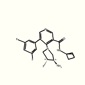 N[C@@H]1CN(c2c(C(=O)NC34CC(C3)C4)cncc2-c2cc(F)cc(F)c2)C[C@H]1F